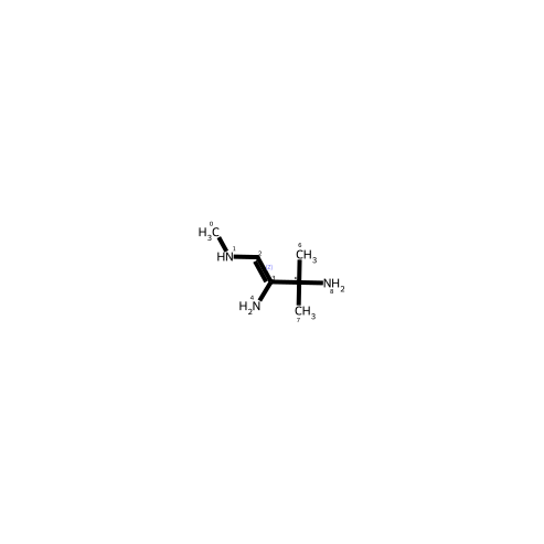 CN/C=C(\N)C(C)(C)N